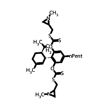 C=C(C)[C@@H]1CCC(C)=C[C@H]1c1c(OC(=S)SCC2CN2C)cc(CCCCC)cc1OC(=S)SCC1CN1C